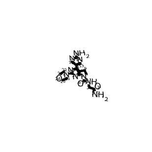 NC(=O)CNC(=O)N1CCc2c(-c3cnc(N)nc3)nc(N3CCOCC3)nc21